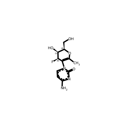 CC1=C(n2ccc(N)nc2=O)[C@@H](F)[C@@H](O)[C@@H](CO)O1